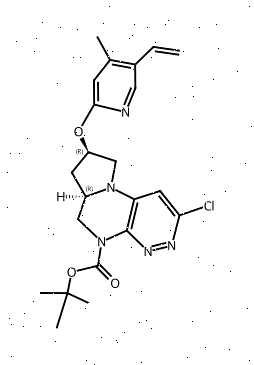 C=Cc1cnc(O[C@@H]2C[C@@H]3CN(C(=O)OC(C)(C)C)c4nnc(Cl)cc4N3C2)cc1C